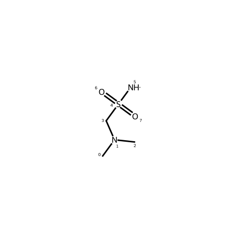 CN(C)CS([NH])(=O)=O